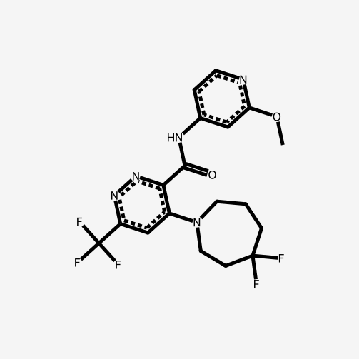 COc1cc(NC(=O)c2nnc(C(F)(F)F)cc2N2CCCC(F)(F)CC2)ccn1